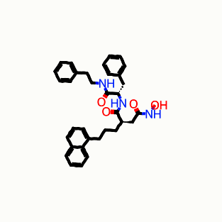 O=C(C[C@@H](CCCc1cccc2ccccc12)C(=O)N[C@@H](Cc1ccccc1)C(=O)NCCc1ccccc1)NO